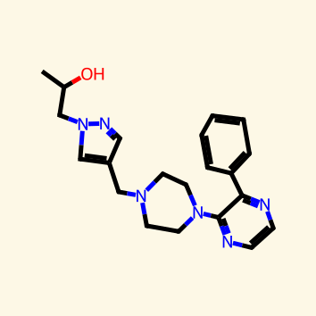 CC(O)Cn1cc(CN2CCN(c3nccnc3-c3ccccc3)CC2)cn1